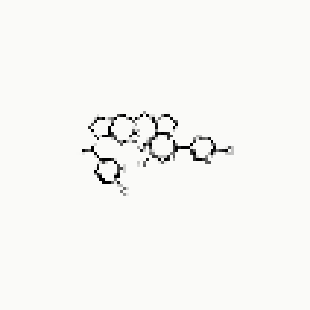 O=C(c1ccc(Cl)nc1)N1CCN(CCCN2CCN(C(=O)c3ccc(Cl)nc3)C2=N[N+](=O)[O-])C1=N[N+](=O)[O-]